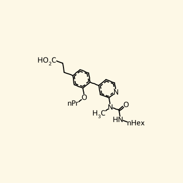 CCCCCCNC(=O)N(C)c1cc(-c2ccc(CCC(=O)O)cc2OCCC)ccn1